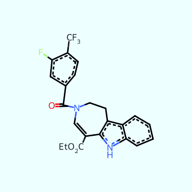 CCOC(=O)C1=CN(C(=O)c2ccc(C(F)(F)F)c(F)c2)CCc2c1[nH]c1ccccc21